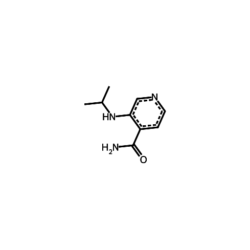 CC(C)Nc1cnccc1C(N)=O